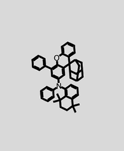 CC1(C)CCC(C)(C)c2c(N(c3ccccc3)c3cc(-c4ccccc4)c4c(c3)C3(c5ccccc5O4)C4CC5CC(C4)CC3C5)cccc21